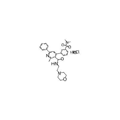 Cc1nc(-c2ccccc2)cc(-c2cccc(S(=O)(=O)N(C)C)c2)c1C(=O)NCCN1CCOCC1.Cl.Cl